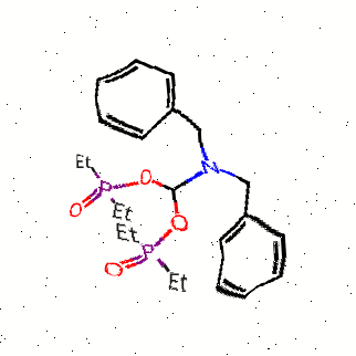 CCP(=O)(CC)OC(OP(=O)(CC)CC)N(Cc1ccccc1)Cc1ccccc1